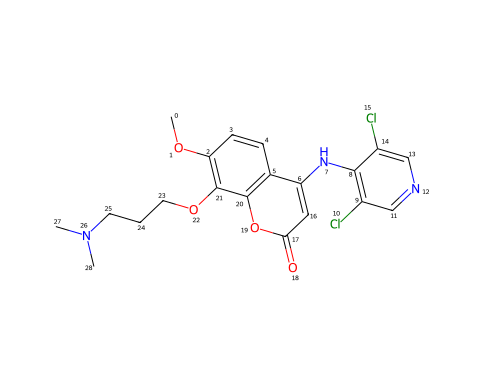 COc1ccc2c(Nc3c(Cl)cncc3Cl)cc(=O)oc2c1OCCCN(C)C